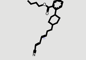 CCCCOC(=O)c1ccccc1C1CCC(CC/C=C/C=CC#N)CC1